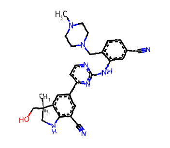 CN1CCN(Cc2ccc(C#N)cc2Nc2nccc(-c3cc(C#N)c4c(c3)[C@@](C)(CO)CN4)n2)CC1